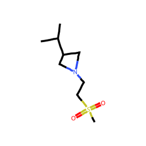 CC(C)C1CN(CCS(C)(=O)=O)C1